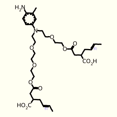 C/C=C/CC(CC(=O)OCCOCCOCCN(CCOCCOC(=O)CC(C/C=C/C)C(=O)O)c1ccc(N)c(C)c1)C(=O)O